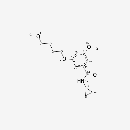 COCCCCOc1cc(OC)cc(C(=O)NC2CC2)c1